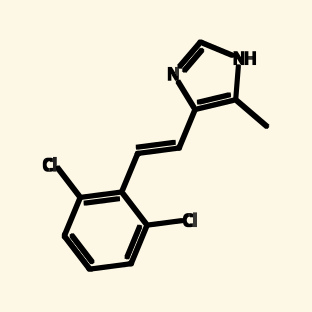 Cc1[nH]cnc1C=Cc1c(Cl)cccc1Cl